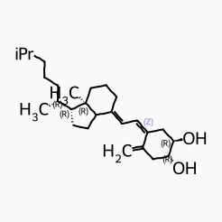 C=C1C[C@@H](O)[C@H](O)C/C1=C/C=C1CCC[C@@]2(C)C1CC[C@@H]2[C@H](C)CCCC(C)C